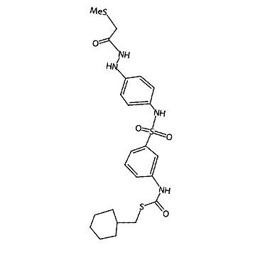 CSCC(=O)NNc1ccc(NS(=O)(=O)c2cccc(NC(=O)SCC3CCCCC3)c2)cc1